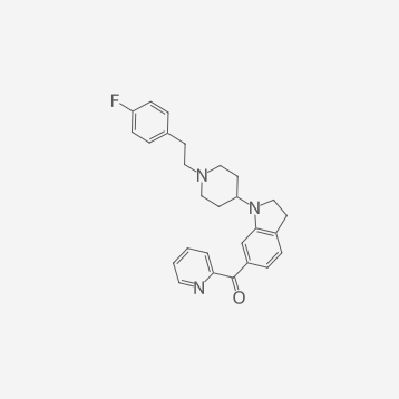 O=C(c1ccc2c(c1)N(C1CCN(CCc3ccc(F)cc3)CC1)CC2)c1ccccn1